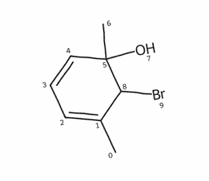 CC1=CC=CC(C)(O)C1Br